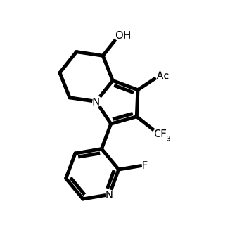 CC(=O)c1c(C(F)(F)F)c(-c2cccnc2F)n2c1C(O)CCC2